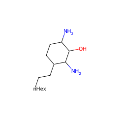 CCCCCCCCC1CCC(N)C(O)C1N